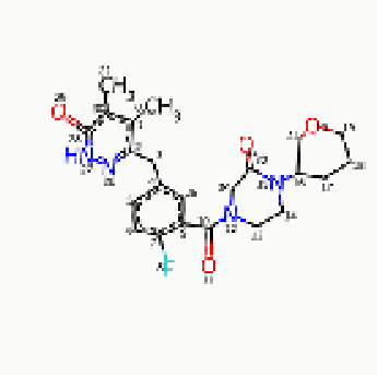 Cc1c(Cc2ccc(F)c(C(=O)N3CCN(C4CCCOC4)C(=O)C3)c2)n[nH]c(=O)c1C